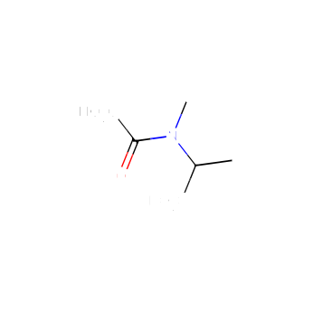 CC(C(=O)O)N(C)C(=O)C(=O)O